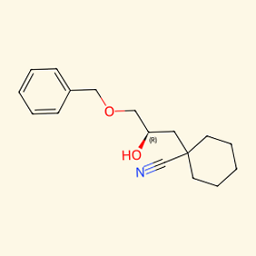 N#CC1(C[C@@H](O)COCc2ccccc2)CCCCC1